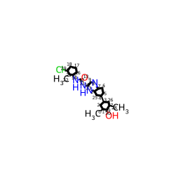 Cc1cc(-c2ccc3ncc(NC(=O)Nc4cccc(Cl)c4C)nc3c2)cc(C)c1O